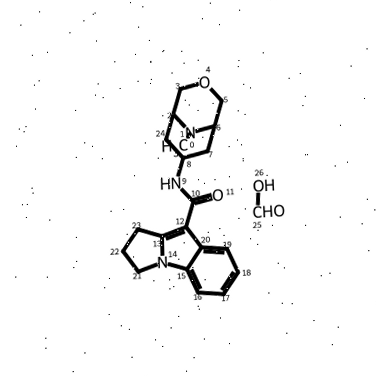 CN1C2COCC1CC(NC(=O)c1c3n(c4ccccc14)CCC3)C2.O=CO